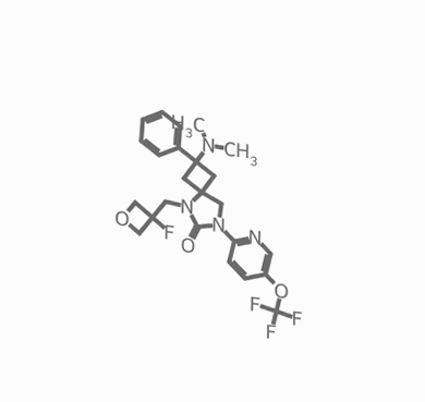 CN(C)C1(c2ccccc2)CC2(CN(c3ccc(OC(F)(F)F)cn3)C(=O)N2CC2(F)COC2)C1